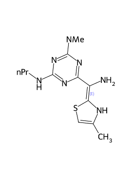 CCCNc1nc(NC)nc(/C(N)=C2/NC(C)=CS2)n1